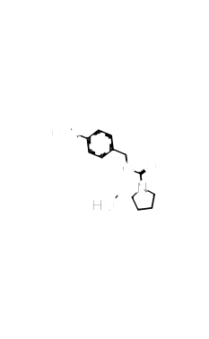 O=C(OCc1ccc([N+](=O)[O-])cc1)N1CCC[C@@H]1CO